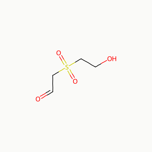 O=CCS(=O)(=O)CCO